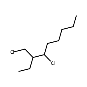 CCCCCC(Cl)C(CC)CCl